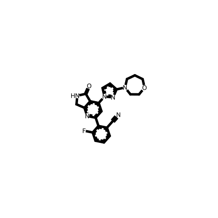 N#Cc1cccc(F)c1-c1cc(-n2ccc(N3CCCOCC3)n2)c2c(n1)CNC2=O